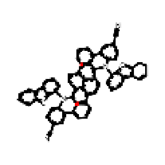 N#Cc1ccc(N(c2ccc3ccc4c(N(c5ccc(C#N)cc5-c5ccccc5)c5cccc6c7c(oc56)CCC=C7)ccc5ccc2c3c54)c2cccc3c2oc2ccccc23)c(C2=CC=CCC2)c1